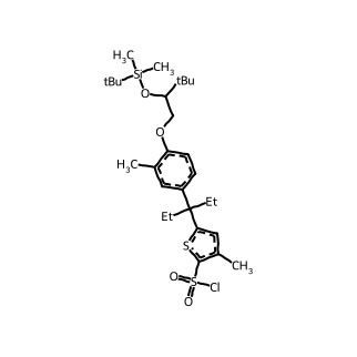 CCC(CC)(c1ccc(OCC(O[Si](C)(C)C(C)(C)C)C(C)(C)C)c(C)c1)c1cc(C)c(S(=O)(=O)Cl)s1